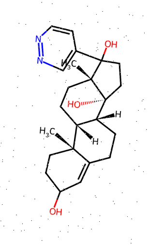 C[C@]12CCC(O)C=C1CC[C@@H]1[C@H]2CC[C@]2(C)C(O)(c3ccnnc3)CC[C@@]12O